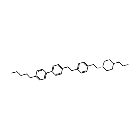 CCCCCc1ccc(-c2ccc(CCc3ccc(CC[C@H]4CC[C@H](CCC)CC4)cc3)cc2)cc1